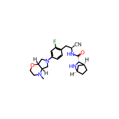 CN1CCO[C@@H]2CN(c3ccc(C[C@@H](C#N)NC(=O)[C@H]4N[C@@H]5CC[C@H]4C5)c(F)c3)C[C@@H]21